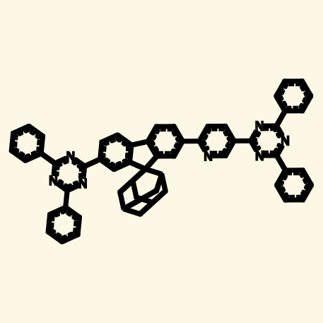 c1ccc(-c2nc(-c3ccccc3)nc(-c3ccc(-c4ccc5c(c4)C4(c6cc(-c7nc(-c8ccccc8)nc(-c8ccccc8)n7)ccc6-5)C5CC6CC(C5)CC4C6)nc3)n2)cc1